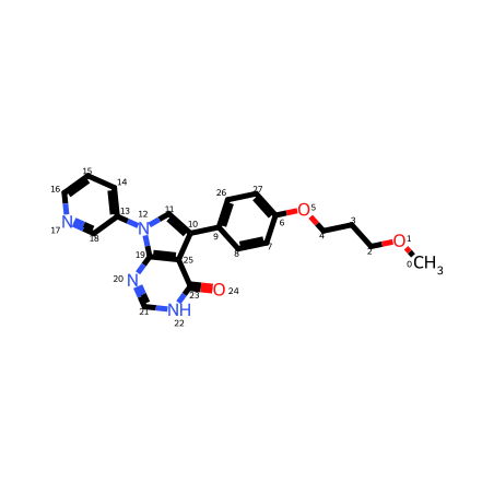 COCCCOc1ccc(-c2cn(-c3cccnc3)c3nc[nH]c(=O)c23)cc1